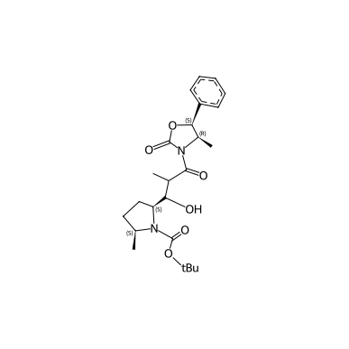 CC(C(=O)N1C(=O)O[C@@H](c2ccccc2)[C@H]1C)C(O)[C@@H]1CC[C@H](C)N1C(=O)OC(C)(C)C